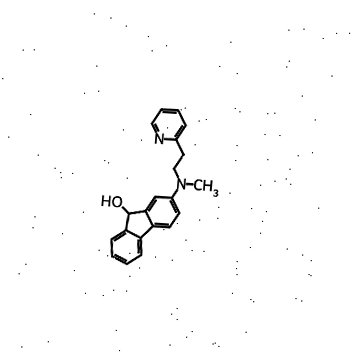 CN(CCc1ccccn1)c1ccc2c(c1)C(O)c1ccccc1-2